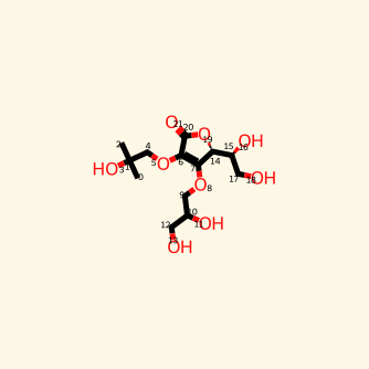 CC(C)(O)COC1=C(OCC(O)CO)[C@@H]([C@@H](O)CO)OC1=O